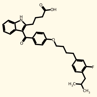 CC(C)Cc1ccc(CCCCOc2ccc(C(=O)c3c(CCCC(=O)O)[nH]c4ccccc34)cc2)cc1F